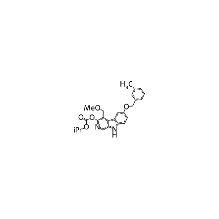 COCc1c(OC(=O)OC(C)C)ncc2[nH]c3ccc(OCc4cccc(C)c4)cc3c12